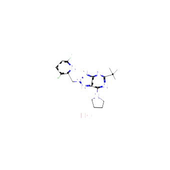 CC(C)(C)c1nc(N2CC[C@H](O)C2)c2nn(Cc3nc(Cl)ccc3Cl)nc2n1